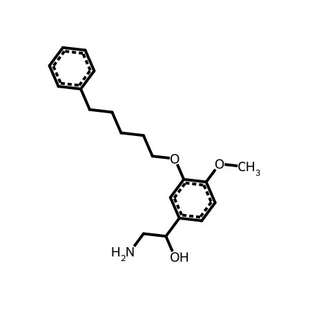 COc1ccc(C(O)CN)cc1OCCCCCc1ccccc1